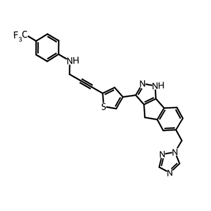 FC(F)(F)c1ccc(NCC#Cc2cc(-c3n[nH]c4c3Cc3cc(Cn5cncn5)ccc3-4)cs2)cc1